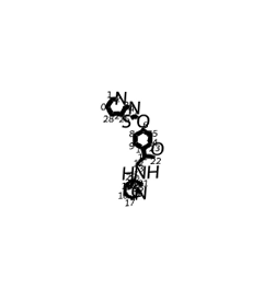 c1cnc2nc(Oc3ccc4c(CN[C@H]5CN6CCC5CC6)coc4c3)sc2c1